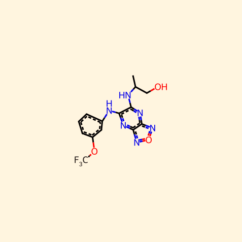 CC(CO)Nc1nc2nonc2nc1Nc1cccc(OC(F)(F)F)c1